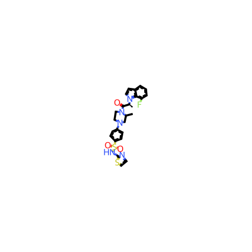 CC1CN(c2ccc(S(=O)(=O)Nc3nccs3)cc2)CCN1C(=O)[C@H](C)n1ccc2cccc(F)c21